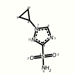 NS(=O)(=O)c1ncn(C2CC2)n1